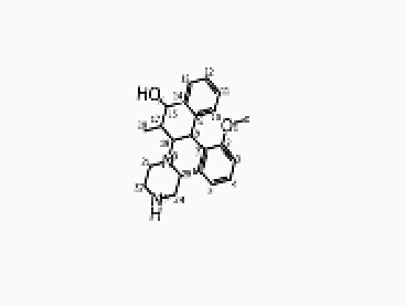 COc1ccccc1C1c2ccccc2C(O)C(C)C1N1CCNCC1